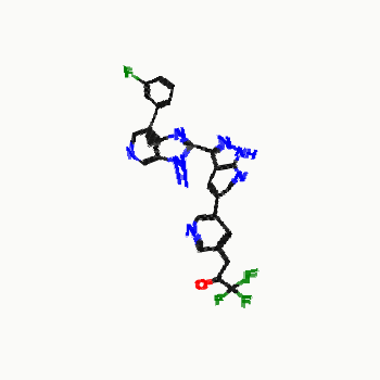 O=C(Cc1cncc(-c2cnc3[nH]nc(-c4nc5c(-c6cccc(F)c6)cncc5[nH]4)c3c2)c1)C(F)(F)F